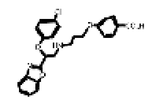 O=C(O)c1ccc(OCCCNCC(Oc2ccc(Cl)cc2)c2nc3ccccc3o2)cc1